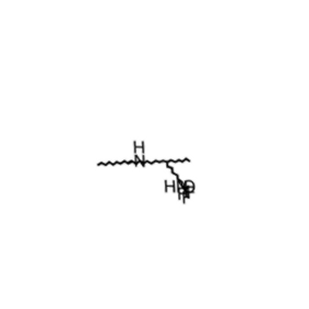 CCCCCCCCC=CCNCCCCCCC(CCCCCC)CCCCCCNC(=O)C(F)(F)F